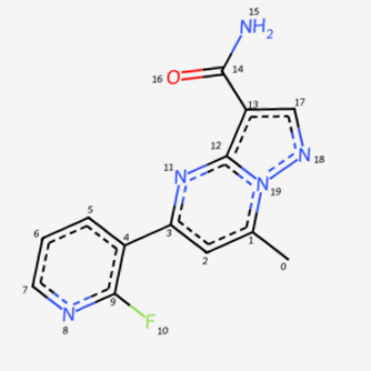 Cc1cc(-c2cccnc2F)nc2c(C(N)=O)cnn12